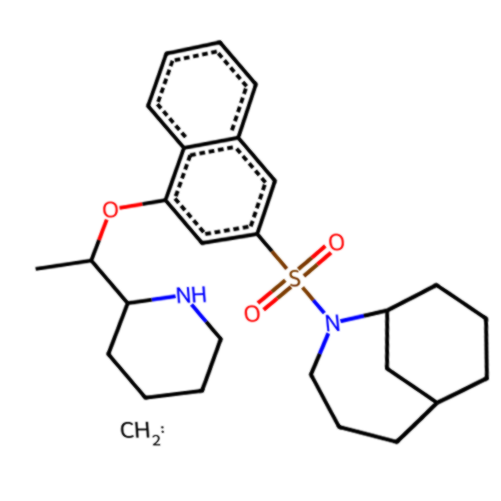 CC(Oc1cc(S(=O)(=O)N2CCCC3CCCC2C3)cc2ccccc12)C1CCCCN1.[CH2]